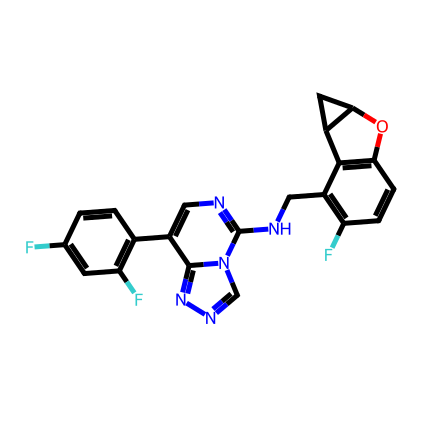 Fc1ccc(-c2cnc(NCc3c(F)ccc4c3C3CC3O4)n3cnnc23)c(F)c1